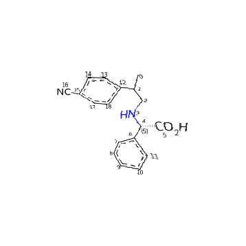 CC(CN[C@H](C(=O)O)c1ccccc1)c1ccc(C#N)cc1